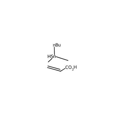 C=CC(=O)O.CCC[CH2][SnH]([CH3])[CH3]